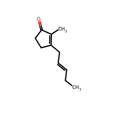 CC/C=C/CC1=C(C)C(=O)CC1